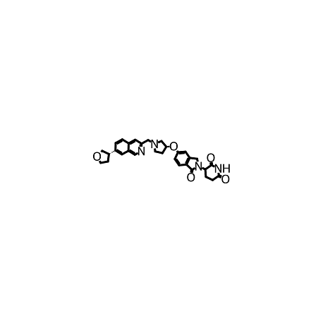 O=C1CCC(N2Cc3cc(O[C@H]4CCN(Cc5cc6ccc([C@@H]7CCOC7)cc6cn5)C4)ccc3C2=O)C(=O)N1